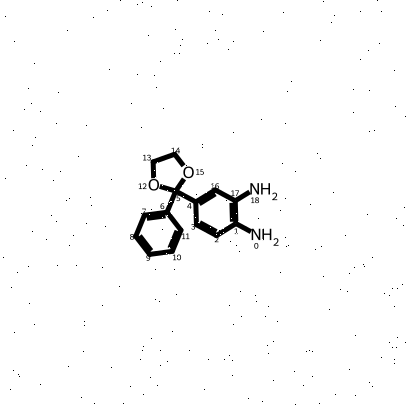 Nc1ccc(C2(c3ccccc3)OCCO2)cc1N